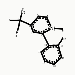 CCC(C)(CC)c1cc[n+](C)c(-c2ccccc2C)c1